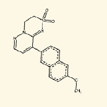 COc1ccc2cc(C3=CC=NN4CCS(=O)(=O)N=C34)ccc2c1